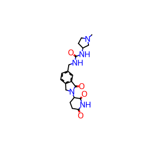 CN1CCC(NC(=O)NCc2ccc3c(c2)C(=O)N(C2CCC(=O)NC2=O)C3)C1